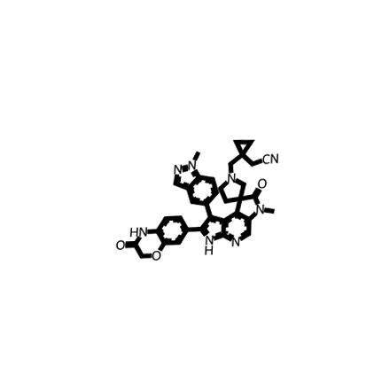 CN1C(=O)C2(CCN(CC3(CC#N)CC3)C2)c2c1cnc1[nH]c(-c3ccc4c(c3)OCC(=O)N4)c(-c3ccc4c(cnn4C)c3)c21